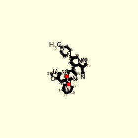 CN1CCN(c2cc(-c3cnc(N4CC5CC(C4)N5Cc4cnc5c(c4)OCO5)nc3)c3c(C#N)cnn3c2)CC1